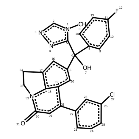 Cn1cnnc1C(O)(c1ccc(F)cc1)c1cc2c3c(c1)c(-c1cccc(Cl)c1)cc(=O)n3CC2